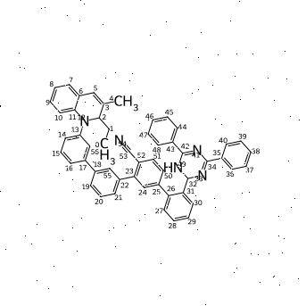 CCC1C(C)=Cc2ccccc2N1c1cccc(-c2cccc(-c3cc(-c4ccccc4C4N=C(c5ccccc5)N=C(c5ccccc5)N4)ccc3C#N)c2)c1